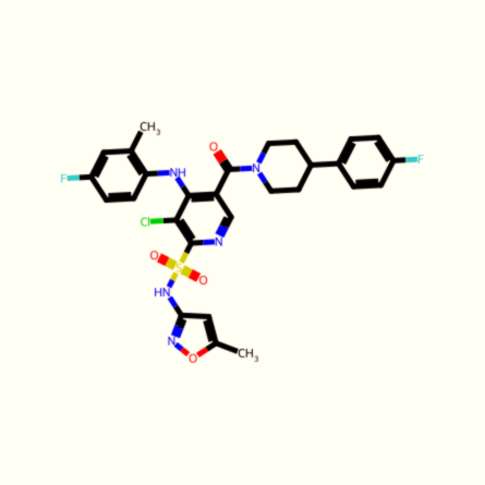 Cc1cc(NS(=O)(=O)c2ncc(C(=O)N3CCC(c4ccc(F)cc4)CC3)c(Nc3ccc(F)cc3C)c2Cl)no1